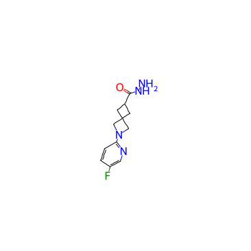 NNC(=O)C1CC2(C1)CN(c1ccc(F)cn1)C2